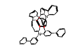 c1ccc(-c2cccc(N(c3ccc4c(c3)C3(c5ccccc5-4)c4ccccc4-n4c5ccccc5c5cccc3c54)c3ccc(-c4ccccc4)cc3-c3ccccc3)c2)cc1